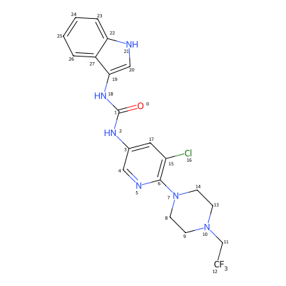 O=C(Nc1cnc(N2CCN(CC(F)(F)F)CC2)c(Cl)c1)Nc1c[nH]c2ccccc12